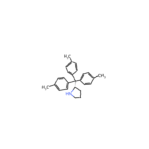 Cc1ccc(C(c2ccc(C)cc2)(c2ccc(C)cc2)[C@@H]2CCCN2)cc1